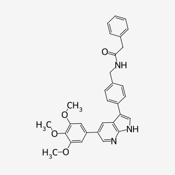 COc1cc(-c2cnc3[nH]cc(-c4ccc(CNC(=O)Cc5ccccc5)cc4)c3c2)cc(OC)c1OC